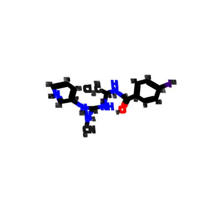 N#CN1C(NC(NC(=O)c2ccc(I)cc2)C(Cl)(Cl)Cl)N1c1cccnc1